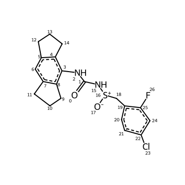 O=C(Nc1c2c(cc3c1CCC3)CCC2)N[S+]([O-])Cc1ccc(Cl)cc1F